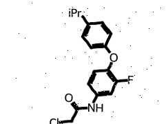 CC(C)c1ccc(Oc2ccc(NC(=O)CCl)cc2F)cc1